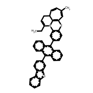 CCC1=CCC2C=CC(C)=CC3=C2N1c1cc(-c2c4ccccc4c(-c4ccc5c(c4)sc4ccccc45)c4ccccc24)ccc1S3